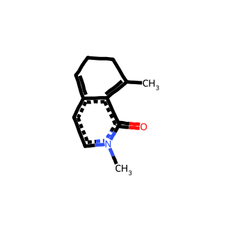 CC1=c2c(ccn(C)c2=O)=CCC1